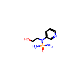 NP(N)(=O)N(CCO)c1cccnc1